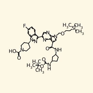 CC(C)(C)OC(=O)NC1CCC(NC(=O)c2cn(COCC[Si](C)(C)C)c3ncc(-c4nn(C5CCN(C(=O)O)CC5)c5cc(F)ccc45)nc23)C1